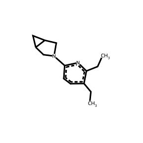 CCc1ccc(N2CC3CC3C2)nc1CC